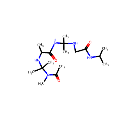 CC(=O)N(C)C(C)(C)NC(C)C(=O)NC(C)(C)NCC(=O)NC(C)C